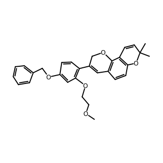 COCCOc1cc(OCc2ccccc2)ccc1C1=Cc2ccc3c(c2OC1)C=CC(C)(C)O3